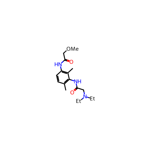 CCN(CC)CC(=O)Nc1c(C)ccc(NC(=O)COC)c1C